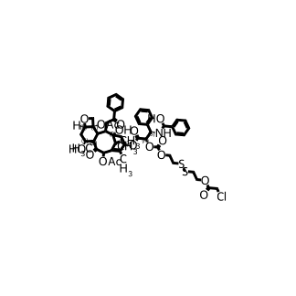 CC(=O)OC1C(=O)[C@@]2(C)C(C(CC(=O)c3ccccc3)[C@]3(O)C[C@H](OC(=O)[C@H](OC(=O)OCCSSCCOC(=O)CCl)[C@@H](NC(O)c4ccccc4)c4ccccc4)C(C)=C1C3(C)C)[C@]1(OC(C)=O)CO[C@@H]1C[C@@H]2O